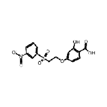 O=C(O)c1ccc(OCCS(=O)(=O)c2cccc([N+](=O)[O-])c2)cc1O